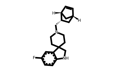 Fc1ccc2c(c1)C1(CCN(C[C@H]3C[C@H]4C=C[C@@H]3C4)CC1)CN2